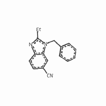 CCc1nc2ccc(C#N)cc2n1Cc1ccccc1